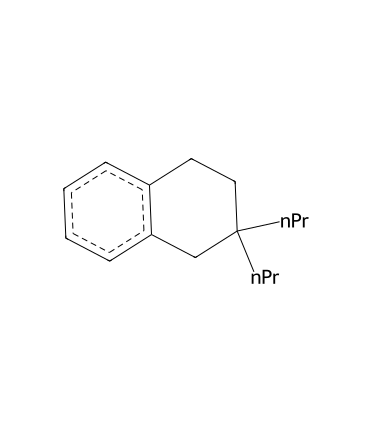 CCCC1(CCC)CCc2ccccc2C1